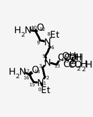 CCN(CCN(CCN(CC)CC(N)=O)CC(=O)O)CC(N)=O.O=C(O)O.O=C(O)O